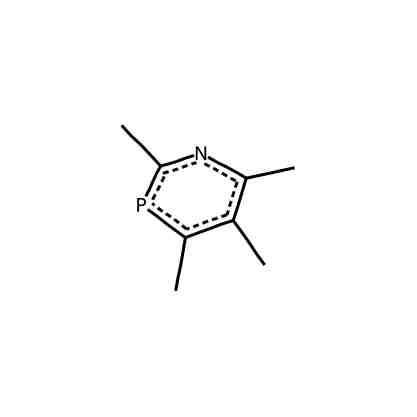 Cc1nc(C)c(C)c(C)p1